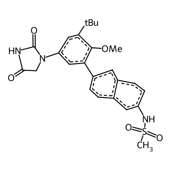 COc1c(-c2ccc3cc(NS(C)(=O)=O)ccc3c2)cc(N2CC(=O)NC2=O)cc1C(C)(C)C